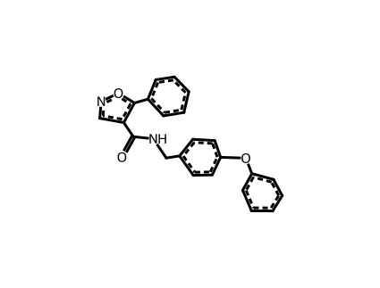 O=C(NCc1ccc(Oc2ccccc2)cc1)c1cnoc1-c1ccccc1